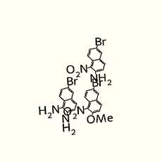 COc1ccc2cc(Br)ccc2c1[N+](=O)[O-].Nc1ccc2cc(Br)ccc2c1N.Nc1ccc2cc(Br)ccc2c1[N+](=O)[O-]